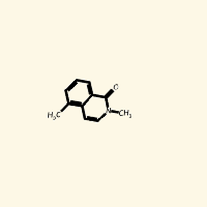 Cc1cccc2c(=O)n(C)ccc12